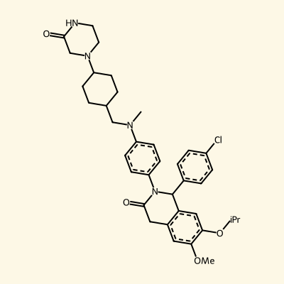 COc1cc2c(cc1OC(C)C)C(c1ccc(Cl)cc1)N(c1ccc(N(C)CC3CCC(N4CCNC(=O)C4)CC3)cc1)C(=O)C2